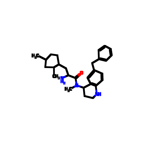 CC1CCC(CC(N)C(=O)N(C)C2CCNc3ccc(Cc4ccccc4)cc32)C(C)C1